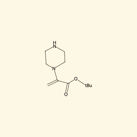 C=C(C(=O)OC(C)(C)C)N1CCNCC1